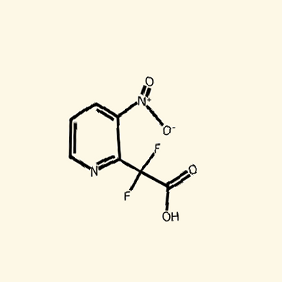 O=C(O)C(F)(F)c1ncccc1[N+](=O)[O-]